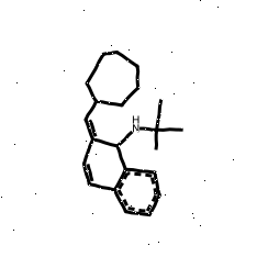 CC(C)(C)NC1C(=CC2CCCCCC2)C=Cc2ccccc21